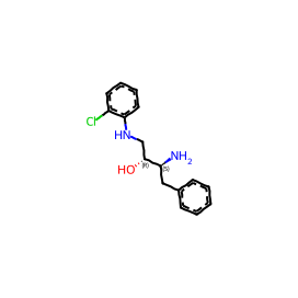 N[C@@H](Cc1ccccc1)[C@H](O)CNc1ccccc1Cl